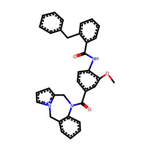 COc1cc(C(=O)N2Cc3cccn3Cc3ccccc32)ccc1NC(=O)c1ccccc1Cc1ccccc1